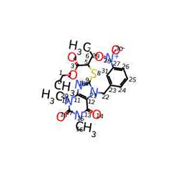 CCOC(=O)C(CC)Sc1nc2c(c(=O)n(C)c(=O)n2C)n1Cc1cccc([N+](=O)[O-])c1